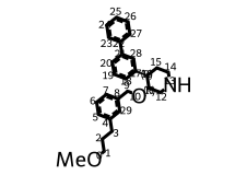 COCCCc1cccc(CO[C@H]2CNCC[C@@H]2c2cccc(-c3ccccc3)c2)c1